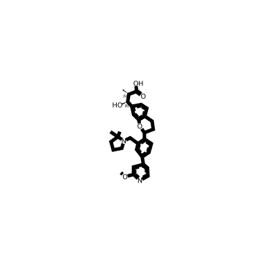 COc1cc(-c2ccc(C3CCc4ccc([C@H](O)[C@H](C)C(=O)O)cc4O3)c(CN3CCCC3(C)C)c2)ccn1